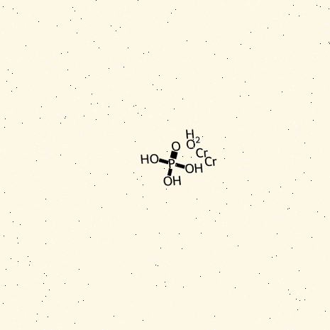 O.O=P(O)(O)O.[Cr].[Cr]